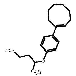 CCCCCCCCCCCCC(Oc1ccc(C2=CCCCCCC2)cc1)C(=O)OCC